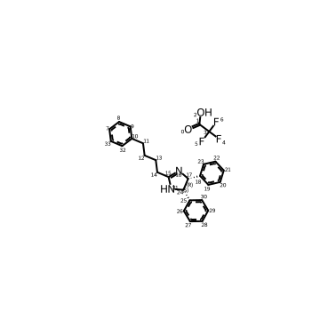 O=C(O)C(F)(F)F.c1ccc(CCCCC2=N[C@H](c3ccccc3)[C@H](c3ccccc3)N2)cc1